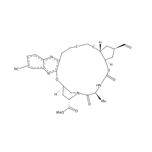 C=C[C@@H]1C[C@H]2CCCCCc3nc4ccc(C#N)cc4nc3O[C@@H]3C[C@@H](C(=O)OC)N(C3)C(=O)[C@H](C(C)(C)C)NC(=O)O[C@@H]2C1